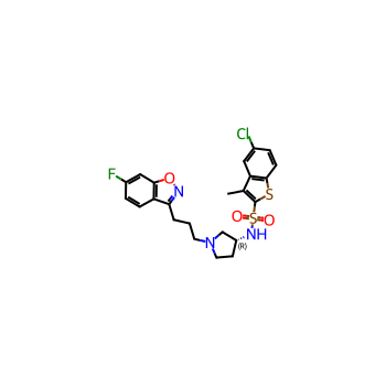 Cc1c(S(=O)(=O)N[C@@H]2CCN(CCCc3noc4cc(F)ccc34)C2)sc2ccc(Cl)cc12